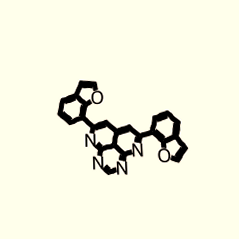 C1=NC2=NC(c3cccc4ccoc34)=CC3=CC(c4cccc5ccoc45)=NC(=N1)C32